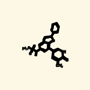 Cc1cc(-c2cc(NS(C)(=O)=O)cc3cc(-c4ccccc4)oc23)c[nH]c1=O